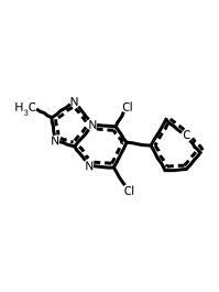 Cc1nc2nc(Cl)c(-c3ccccc3)c(Cl)n2n1